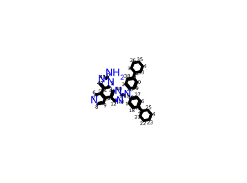 Nc1ncc(-c2cnccc2-c2cnc(N(c3ccc(C4CCCCC4)cc3)c3ccc(C4CCCCC4)cc3)nc2)cn1